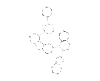 c1ccc(-c2nc(-c3ccccc3)nc(-c3cccc4oc5ccc(-c6ccccc6-c6cn7ccccc7n6)cc5c34)n2)cc1